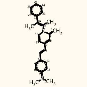 C=C1C=C(/C=C/c2ccc(N(C)C)cc2)C=CN1/C(C)=C(\C)c1ccccc1